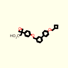 O=C(O)CC1(c2ccc(OCc3cccc(-c4ccc(OCC5CCC5)cc4)c3)cc2)COC1